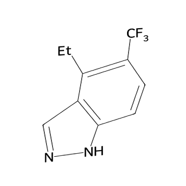 CCc1c(C(F)(F)F)ccc2[nH]ncc12